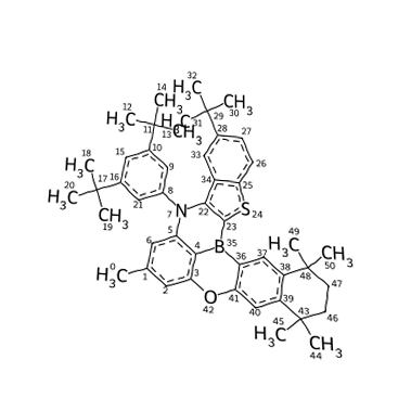 Cc1cc2c3c(c1)N(c1cc(C(C)(C)C)cc(C(C)(C)C)c1)c1c(sc4ccc(C(C)(C)C)cc14)B3c1cc3c(cc1O2)C(C)(C)CCC3(C)C